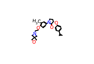 Cc1cc(N2CC[C@H](Oc3ccc(C4CC4)cc3)C2=O)ccc1OCCN1CC2(COC2)C1